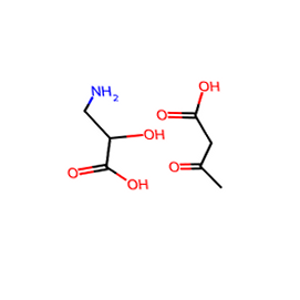 CC(=O)CC(=O)O.NCC(O)C(=O)O